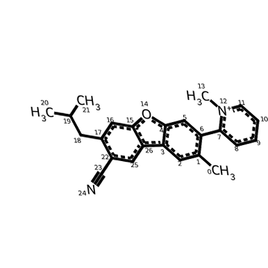 Cc1cc2c(cc1-c1cccc[n+]1C)oc1cc(CC(C)C)c(C#N)cc12